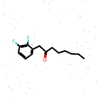 CCCCCCC(=O)Cc1cccc(F)c1F